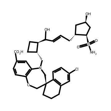 NS(=O)(=O)[C@@H]1C[C@H](O)C[C@H]1C/C=C/C(O)[C@@H]1CC[C@H]1CN1C[C@@]2(CCCc3cc(Cl)ccc32)COc2ccc(C(=O)O)cc21